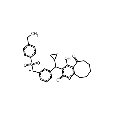 CCc1ccc(S(=O)(=O)Nc2cccc(C(c3c(O)c4c(oc3=O)CCCCCC4=O)C3CC3)c2)cc1